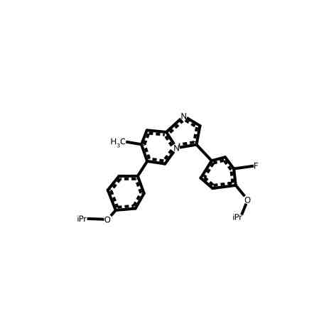 Cc1cc2ncc(-c3ccc(OC(C)C)c(F)c3)n2cc1-c1ccc(OC(C)C)cc1